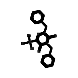 CC[Si](CC)(CC)c1nn(Cc2ccccc2)c(=O)n(Cc2ccccc2)c1=O